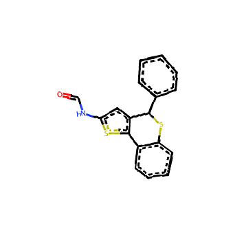 O=CNc1cc2c(s1)-c1ccccc1SC2c1ccccc1